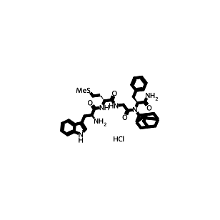 CSCC[C@@H](NC(=O)[C@@H](N)Cc1c[nH]c2ccccc12)C(=O)NCC(=O)N(C1C2CC3CC(C2)CC1C3)[C@@H](Cc1ccccc1)C(N)=O.Cl